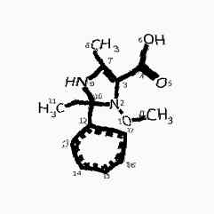 CON1C(C(=O)O)=C(C)NC1(C)c1ccccc1